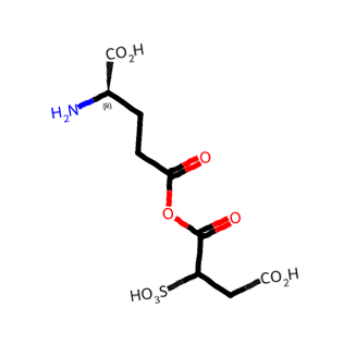 N[C@H](CCC(=O)OC(=O)C(CC(=O)O)S(=O)(=O)O)C(=O)O